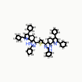 c1ccc(C2=NC(c3ccc(C4N=C(c5ccccc5)NC5=C4CCc4c(-c6ccccc6)cc(-c6ccccc6)nc45)s3)C3=C(N2)c2nc(-c4ccccc4)cc(-c4ccccc4)c2CC3)cc1